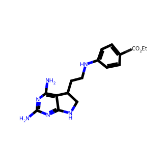 CCOC(=O)c1ccc(NCCC2CNc3nc(N)nc(N)c32)cc1